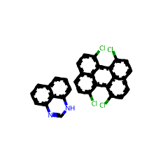 C1=Nc2cccc3cccc(c23)N1.Clc1ccc2ccc(Cl)c3c4c(Cl)ccc5ccc(Cl)c(c1c23)c54